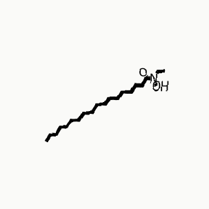 CCCCCCCCCCCCCCCCCC(=O)N(O)CC